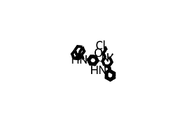 C[C@H]1Cc2c([nH]c3ccccc23)[C@H](c2ccc(NC34CC5CC(CC(C5)C3)C4)cc2)N1C(=O)CCl